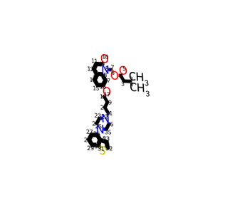 CC(C)CC(=O)OCn1c(=O)ccc2ccc(OCCCCN3CCN(c4cccc5sccc45)CC3)cc21